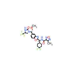 COC[C@H](c1ccc2oc([C@@H](NC(=O)c3nonc3C)C3CCC(F)(F)CC3)nc2c1)N1C[C@@H](C(F)(F)F)NC1=O